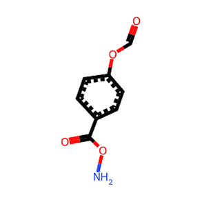 NOC(=O)c1ccc(OC=O)cc1